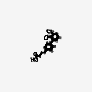 O=C(O)CCCc1ccc(-c2cccc(Cl)c2Cl)cc1